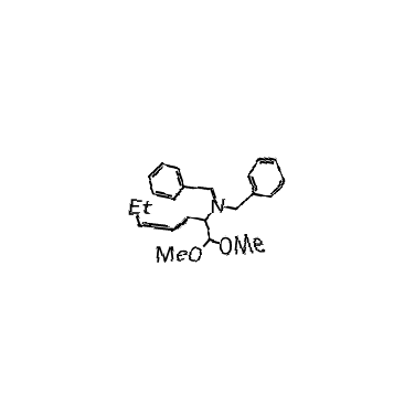 CC/C=C\CC(C(OC)OC)N(Cc1ccccc1)Cc1ccccc1